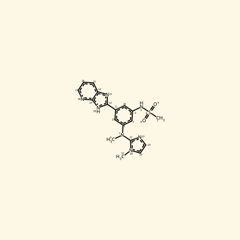 CN(c1cc(NS(C)(=O)=O)cc(-c2nc3cccnc3[nH]2)c1)c1nccn1C